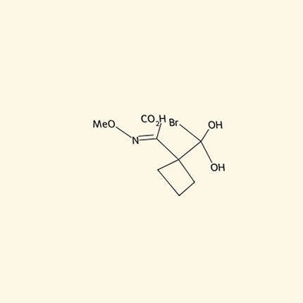 CON=C(C(=O)O)C1(C(O)(O)Br)CCC1